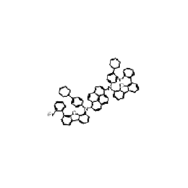 CC(C)c1ccccc1-c1cccc2c1oc1c(N(c3ccc(C4CCCCC4)cc3)c3ccc4ccc5c(N(c6ccc(C7CCCCC7)cc6)c6cccc7c6oc6c(-c8ccccc8C(C)C)cccc67)ccc6ccc3c4c65)cccc12